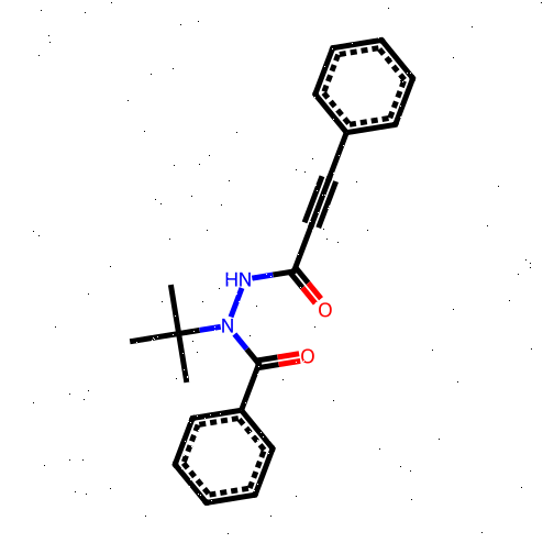 CC(C)(C)N(NC(=O)C#Cc1ccccc1)C(=O)c1ccccc1